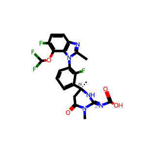 Cc1nc2ccc(F)c(OC(F)F)c2n1-c1cccc([C@]2(C)CC(=O)N(C)/C(=N/C(=O)O)N2)c1F